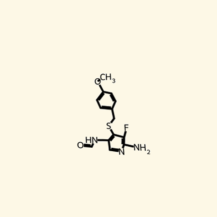 COc1ccc(CSc2c(NC=O)cnc(N)c2F)cc1